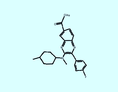 COC(=O)c1ccc2nc(-c3ccc(F)cc3)c(N(C)C3CCC(C)CC3)nc2c1